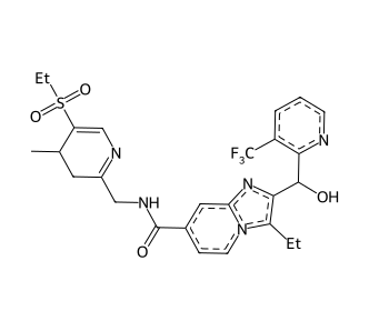 CCc1c(C(O)c2ncccc2C(F)(F)F)nc2cc(C(=O)NCC3=NC=C(S(=O)(=O)CC)C(C)C3)ccn12